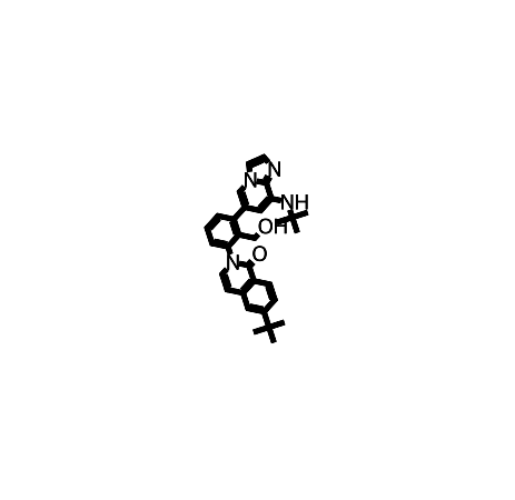 CC(C)(C)Nc1cc(-c2cccc(-n3ccc4cc(C(C)(C)C)ccc4c3=O)c2CO)cn2ccnc12